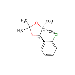 CC1(C)O[C@H](c2ccccc2Cl)[C@@](C)(C(=O)O)O1